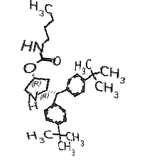 CCCCNC(=O)O[C@H]1CN[C@@H](C(c2ccc(C(C)(C)C)cc2)c2ccc(C(C)(C)C)cc2)C1